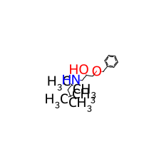 CC(C)(C)CC(C)(C)NCC(O)COCc1ccccc1